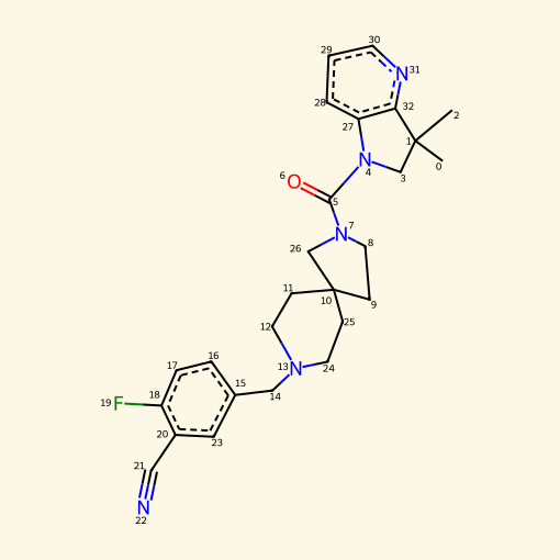 CC1(C)CN(C(=O)N2CCC3(CCN(Cc4ccc(F)c(C#N)c4)CC3)C2)c2cccnc21